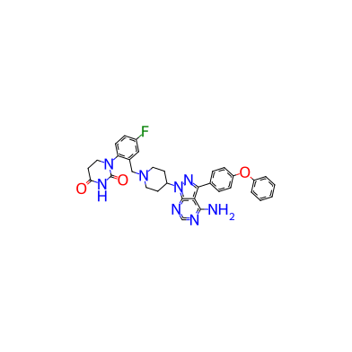 Nc1ncnc2c1c(-c1ccc(Oc3ccccc3)cc1)nn2C1CCN(Cc2cc(F)ccc2N2CCC(=O)NC2=O)CC1